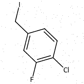 Fc1cc(CI)ccc1Cl